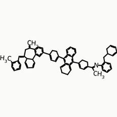 C=C1C/C(=C/c2ccccc2C)C2C=CC=CC2c2cc(C3=CC=C(c4c5c(c(C6=CC=C(/C(C)=N/c7ccccc7CC7C=CC=CC7)CC6)c6ccccc46)=CCCC=5)CC3)ccc21